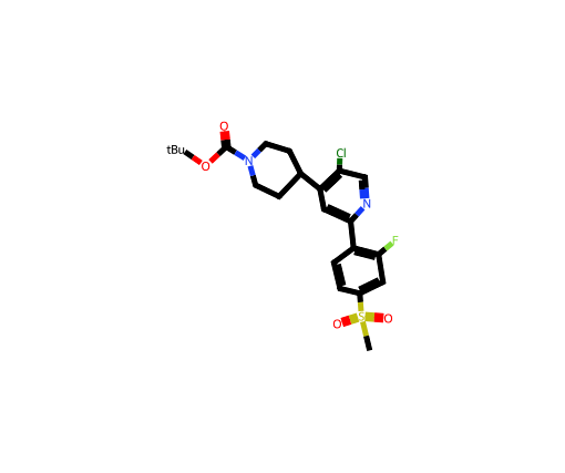 CC(C)(C)OC(=O)N1CCC(c2cc(-c3ccc(S(C)(=O)=O)cc3F)ncc2Cl)CC1